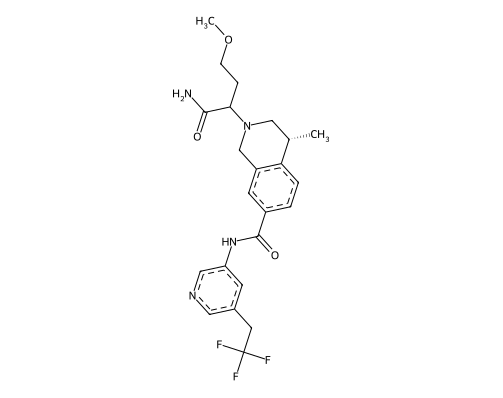 COCCC(C(N)=O)N1Cc2cc(C(=O)Nc3cncc(CC(F)(F)F)c3)ccc2[C@@H](C)C1